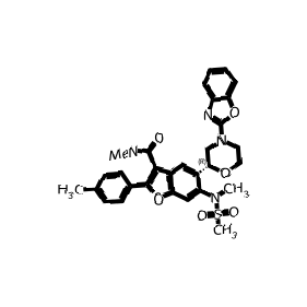 CNC(=O)c1c(-c2ccc(C)cc2)oc2cc(N(C)S(C)(=O)=O)c([C@@H]3CN(c4nc5ccccc5o4)CCO3)cc12